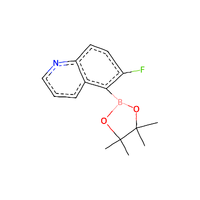 CC1(C)OB(c2c(F)ccc3ncccc23)OC1(C)C